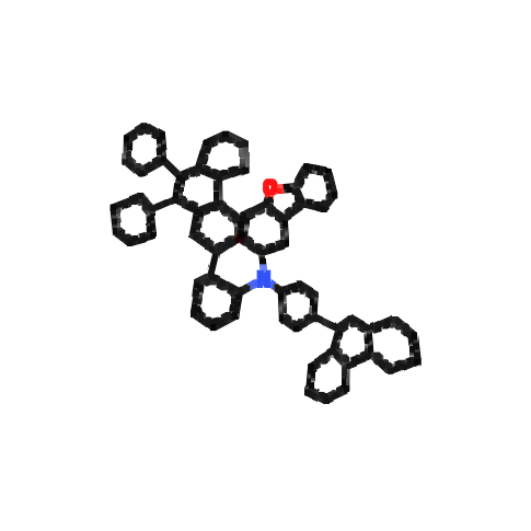 c1ccc(-c2c(-c3ccccc3)c3cc(-c4ccccc4N(c4ccc(-c5cc6ccccc6c6ccccc56)cc4)c4ccc5oc6ccccc6c5c4)ccc3c3ccccc23)cc1